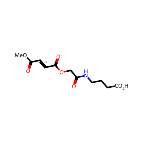 COC(=O)/C=C/C(=O)OCC(=O)NCCCC(=O)O